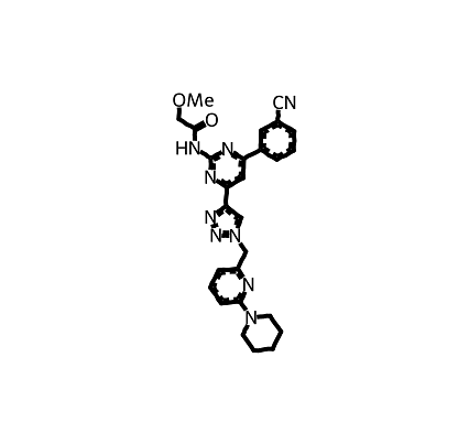 COCC(=O)Nc1nc(-c2cccc(C#N)c2)cc(-c2cn(Cc3cccc(N4CCCCC4)n3)nn2)n1